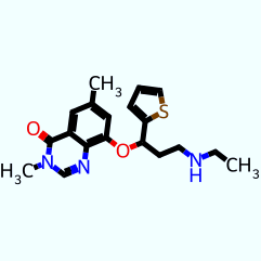 CCNCCC(Oc1cc(C)cc2c(=O)n(C)cnc12)c1cccs1